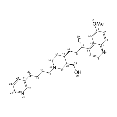 COc1ccc2nccc([C@@H](F)CC[C@@H]3CCN(CCCSc4ccnnc4)C[C@@H]3CO)c2c1